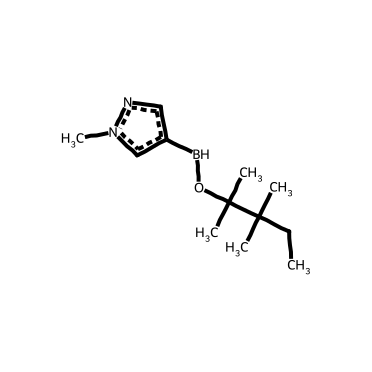 CCC(C)(C)C(C)(C)OBc1cnn(C)c1